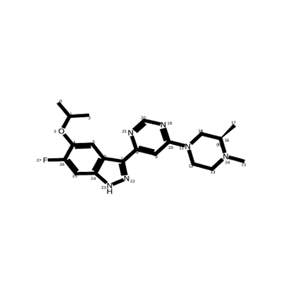 CC(C)Oc1cc2c(-c3cc(N4CCN(C)[C@H](C)C4)ncn3)n[nH]c2cc1F